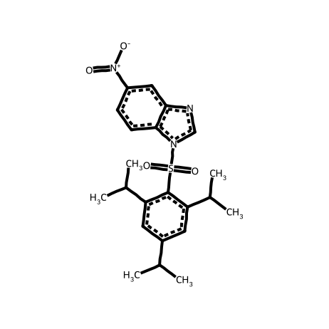 CC(C)c1cc(C(C)C)c(S(=O)(=O)n2cnc3cc([N+](=O)[O-])ccc32)c(C(C)C)c1